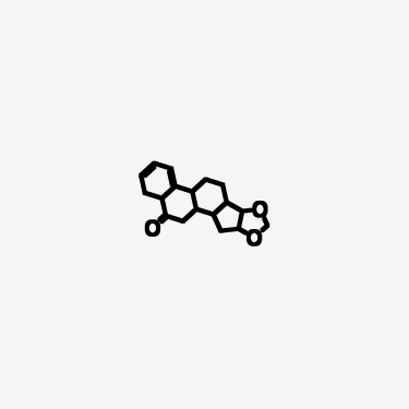 O=C1CC2C(CCC3C2CC2OCOC23)C2=CC=CCC12